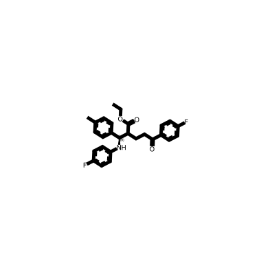 CCOC(=O)C(CCC(=O)c1ccc(F)cc1)[C@@H](Nc1ccc(F)cc1)c1ccc(C)cc1